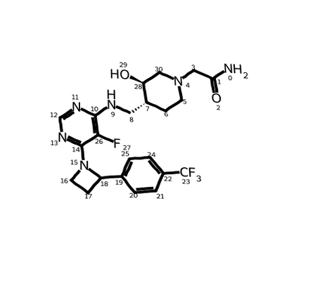 NC(=O)CN1CC[C@H](CNc2ncnc(N3CCC3c3ccc(C(F)(F)F)cc3)c2F)[C@@H](O)C1